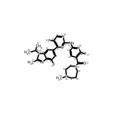 Cc1nc2c(F)cc(-c3nc(Nc4ccc(C(=O)N5CCCN(C)CC5)c(F)n4)ncc3F)cc2n1C(C)C